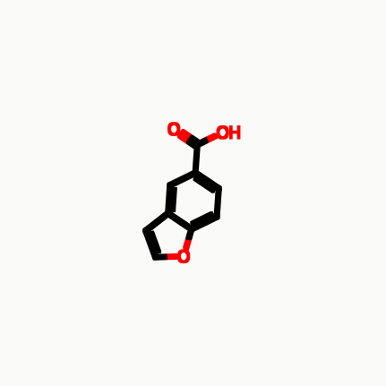 O=C(O)c1ccc2occc2c1